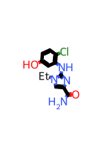 CCn1cc(C(N)=O)nc1Nc1cc(O)ccc1Cl